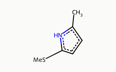 CSc1ccc(C)[nH]1